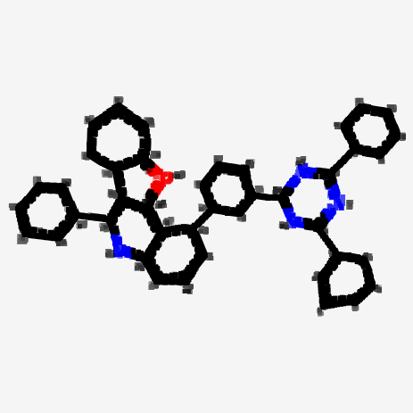 c1ccc(-c2nc(-c3ccccc3)nc(-c3cccc(-c4cccc5nc(-c6ccccc6)c6c7ccccc7oc6c45)c3)n2)cc1